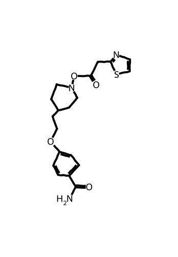 NC(=O)c1ccc(OCCC2CCN(OC(=O)Cc3nccs3)CC2)cc1